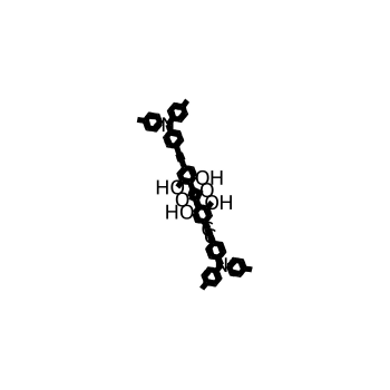 Cc1ccc(N(c2ccc(C)cc2)c2ccc(C#Cc3cc(O)c(C4=C([O-])C(=c5c(O)cc(=C=C=C6C=CC(=[N+](c7ccc(C)cc7)c7ccc(C)cc7)C=C6)cc5O)C4=O)c(O)c3)cc2)cc1